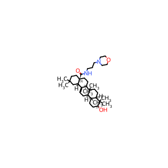 CC1(C)CC[C@]2(C(=O)NCCCN3CCOCC3)CC[C@]3(C)C(=CC[C@@H]4[C@@]5(C)CC[C@H](O)C(C)(C)[C@@H]5CC[C@]43C)[C@@H]2C1